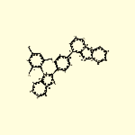 Cc1cc(C)c(-n2c(-c3ccc(-c4cccc5c4sc4ccccc45)cc3)nc3ccccc32)c(C)c1